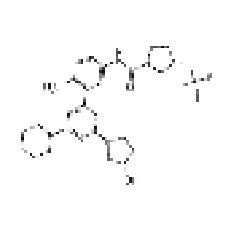 Cc1ccc(NC(=O)N2CC[C@H](CC(F)(F)F)C2)cc1-c1cc(N2CCOCC2)nc(N2CC[C@H](O)C2)c1